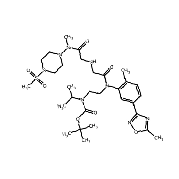 Cc1nc(-c2ccc(C)c(N(CCN(C(=O)OC(C)(C)C)C(C)C)C(=O)CNCC(=O)N(C)N3CCN(S(C)(=O)=O)CC3)c2)no1